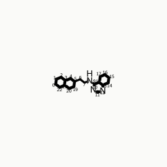 c1ccc2cc(CCNc3ncnc4ccccc34)ccc2c1